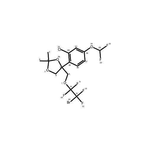 CC1(C)OCC(COC(F)(F)C(F)(F)Br)(c2ccc(OC(F)F)cc2Cl)O1